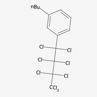 CCC[CH]c1cccc(C(Cl)(Cl)C(Cl)(Cl)C(Cl)(Cl)C(Cl)(Cl)Cl)c1